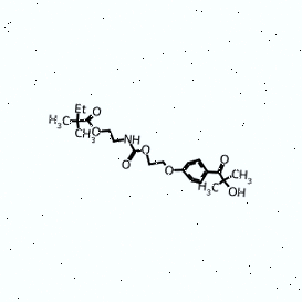 CCC(C)(C)C(=O)OCCNC(=O)OCCOc1ccc(C(=O)C(C)(C)O)cc1